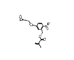 C=C(C)C(=O)OCc1cc(OCC2CO2)ccc1[N+](=O)[O-]